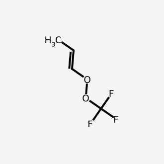 CC=COOC(F)(F)F